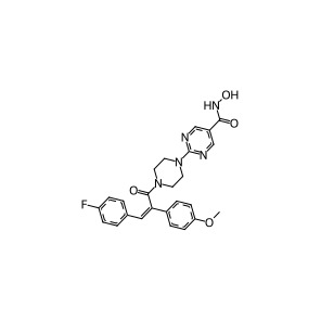 COc1ccc(C(=Cc2ccc(F)cc2)C(=O)N2CCN(c3ncc(C(=O)NO)cn3)CC2)cc1